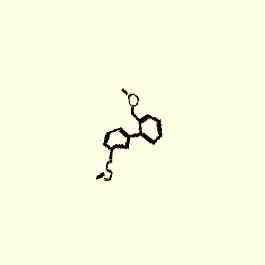 COCc1ccccc1-c1cccc(SC)c1